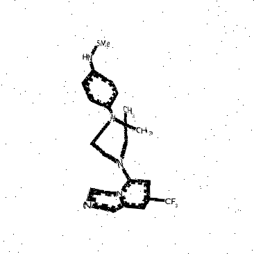 CSNc1ccc(N2CCN(c3cc(C(F)(F)F)cc4cncn34)CC2(C)C)cc1